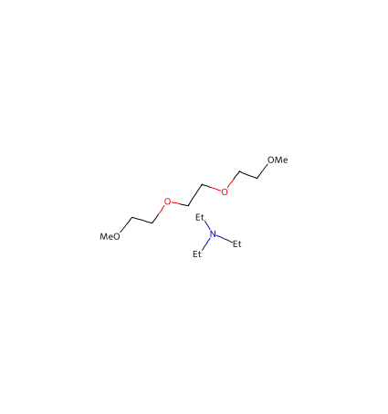 CCN(CC)CC.COCCOCCOCCOC